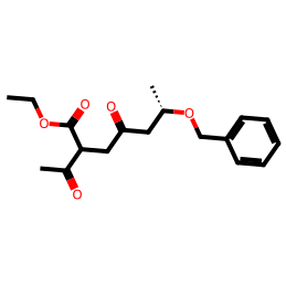 CCOC(=O)C(CC(=O)C[C@H](C)OCc1ccccc1)C(C)=O